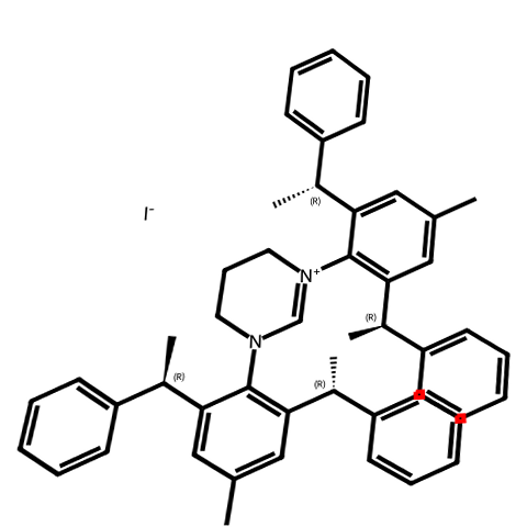 Cc1cc([C@H](C)c2ccccc2)c(N2C=[N+](c3c([C@H](C)c4ccccc4)cc(C)cc3[C@H](C)c3ccccc3)CCC2)c([C@H](C)c2ccccc2)c1.[I-]